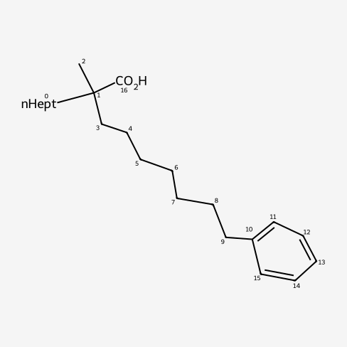 CCCCCCCC(C)(CCCCCCCc1ccccc1)C(=O)O